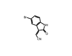 N#C/C=C1\C(=O)Nc2ccc(Br)cc21